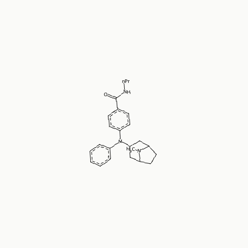 CCCNC(=O)c1ccc(N(c2ccccc2)C2CC3CCC(C2)N3C)cc1